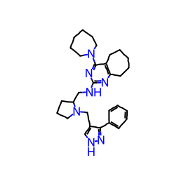 c1ccc(-c2n[nH]cc2CN2CCCC2CNc2nc3c(c(N4CCCCCC4)n2)CCCCC3)cc1